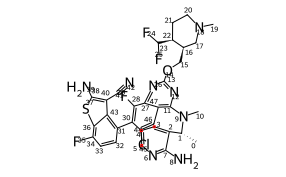 C[C@H](c1cccnc1N)N(C)c1nc(OC[C@@H]2CN(C)CC[C@@H]2C(F)F)nc2c(F)c(-c3ccc(F)c4sc(N)c(C#N)c34)c(Cl)cc12